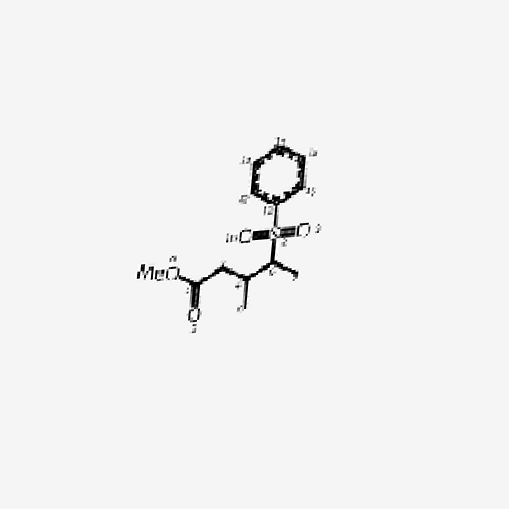 COC(=O)CC(C)C(C)S(=O)(=O)c1ccccc1